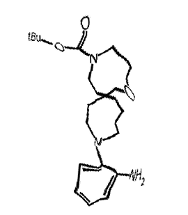 CC(C)(C)OC(=O)N1CCOC2(CCN(c3ccccc3N)CC2)C1